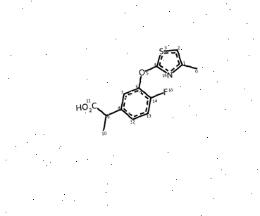 Cc1csc(Oc2cc(C(C)C(=O)O)ccc2F)n1